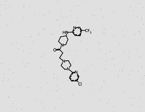 O=C(CCN1CCN(c2ccc(Cl)cn2)CC1)N1CCC(Nc2ccc(C(F)(F)F)cn2)CC1